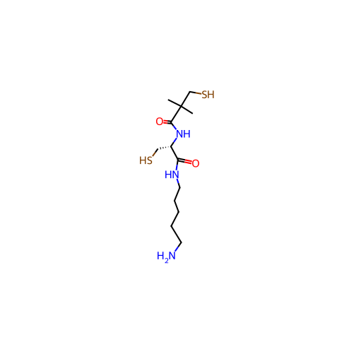 CC(C)(CS)C(=O)N[C@@H](CS)C(=O)NCCCCCN